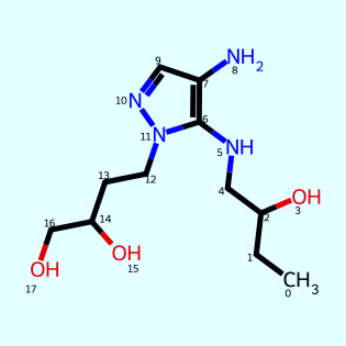 CCC(O)CNc1c(N)cnn1CCC(O)CO